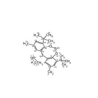 C[O-].C[O-].Cc1cc2c(c(C(C)(C)C)c1)[O][Ti+2][O]c1c(cc(C)cc1C(C)(C)C)S2